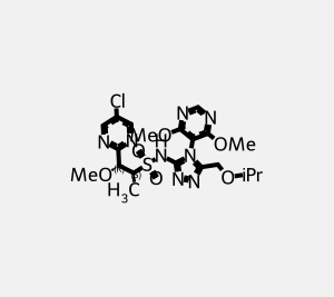 COc1ncnc(OC)c1-n1c(COC(C)C)nnc1NS(=O)(=O)[C@@H](C)[C@H](OC)c1ncc(Cl)cn1